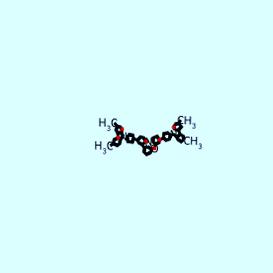 Cc1ccc2c(c1)c1cc(C)ccc1n2-c1ccc(-c2ccc3c(c2)Oc2cccc4c5cc(-c6ccc(-n7c8ccc(C)cc8c8cc(C)ccc87)cc6)ccc5n-3c24)cc1